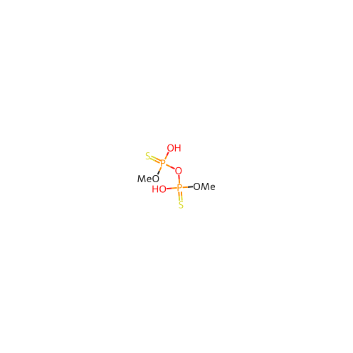 COP(O)(=S)OP(O)(=S)OC